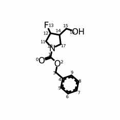 O=C(OCc1ccccc1)N1CC(F)C(CO)C1